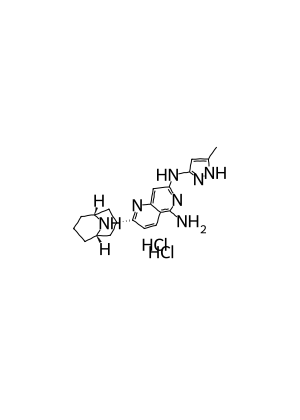 Cc1cc(Nc2cc3nc([C@H]4C[C@H]5CCC[C@@H](C4)N5)ccc3c(N)n2)n[nH]1.Cl.Cl